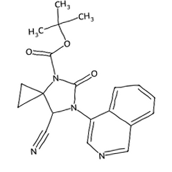 CC(C)(C)OC(=O)N1C(=O)N(c2cncc3ccccc23)C(C#N)C12CC2